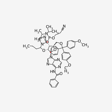 CCCC(O[C@@H]1[C@H](OP(OCCC#N)N(C(C)C)C(C)C)[C@@H](COC(c2ccccc2)(c2ccc(OC)cc2)c2ccc(OC)cc2)O[C@H]1n1cnc2c(NC(=O)c3ccccc3)ncnc21)n1ccnc1